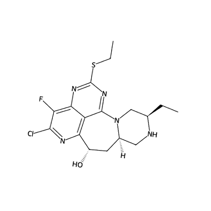 CCSc1nc2c3c(nc(Cl)c(F)c3n1)[C@@H](O)C[C@@H]1CN[C@H](CC)CN21